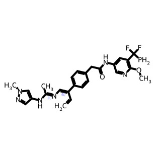 C=C/C(=C\N=C(/C)Nc1cnn(C)c1)c1ccc(CC(=O)Nc2cnc(OC)c(C(F)(F)P)c2)cc1